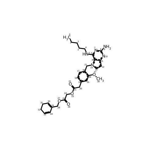 CCCCCNc1nc(N)nc2ccn(Cc3ccc(CC(=O)OCC(=O)OCC4=CCCC=C4)cc3OC)c12